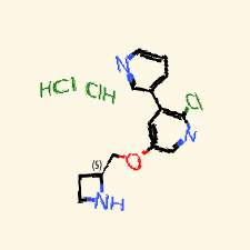 Cl.Cl.Clc1ncc(OC[C@@H]2CCN2)cc1-c1cccnc1